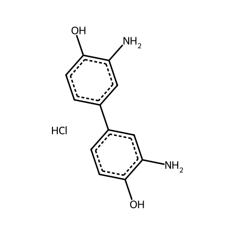 Cl.Nc1cc(-c2ccc(O)c(N)c2)ccc1O